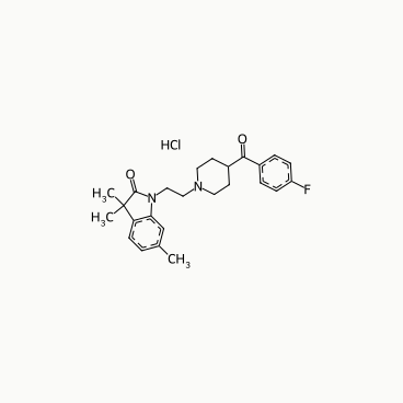 Cc1ccc2c(c1)N(CCN1CCC(C(=O)c3ccc(F)cc3)CC1)C(=O)C2(C)C.Cl